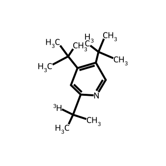 [3H]C(C)(C)c1cc(C(C)(C)C)c(C(C)(C)C)cn1